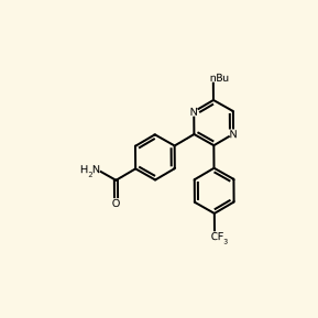 CCCCc1cnc(-c2ccc(C(F)(F)F)cc2)c(-c2ccc(C(N)=O)cc2)n1